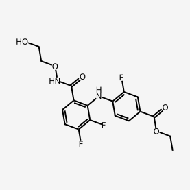 CCOC(=O)c1ccc(Nc2c(C(=O)NOCCO)ccc(F)c2F)c(F)c1